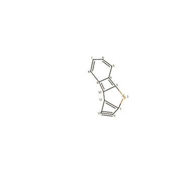 c1c2sc3c4ccccc4c3c2c#1